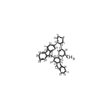 Cc1cccc(-c2ccccc2-c2ccc3c4ccccc4n(-c4ccc5c(c4)oc4ccccc45)c3c2)c1